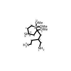 COC1(CC(CN)CCN)CCCC[Si]1(OC)OC.[SiH4]